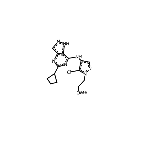 COCCn1ncc(Nc2nc(C3CCC3)nc3cn[nH]c23)c1Cl